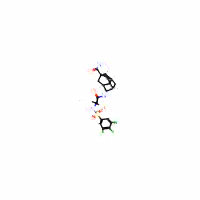 CC(C)(NS(=O)(=O)c1cc(F)c(F)c(F)c1)C(=O)NC1C2CC3CC1CC(C(N)=O)(C3)C2